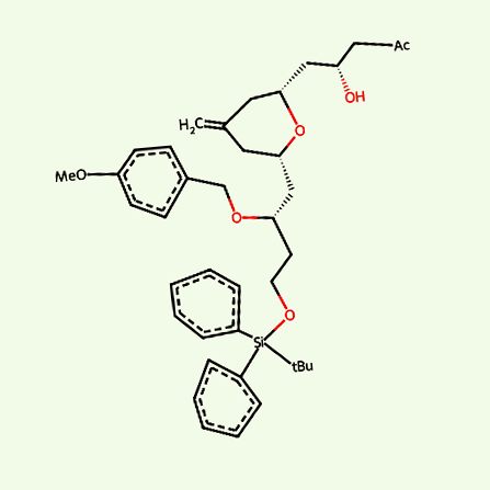 C=C1C[C@H](C[C@@H](O)CC(C)=O)O[C@H](C[C@H](CCO[Si](c2ccccc2)(c2ccccc2)C(C)(C)C)OCc2ccc(OC)cc2)C1